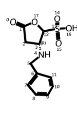 O=C1C[C@@H](NCc2ccccc2)C(S(=O)(=O)O)O1